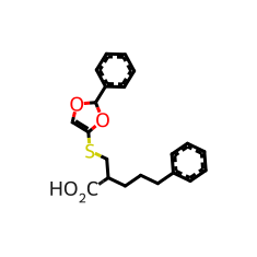 O=C(O)C(CCCc1ccccc1)CSC1=COC(c2ccccc2)O1